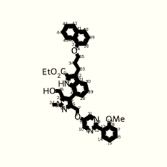 CCOC(=O)c1[nH]c2c(-c3c(COc4cnc(-c5ccccc5OC)nc4)nn(C)c3CO)cccc2c1CCCOc1cccc2ccccc12